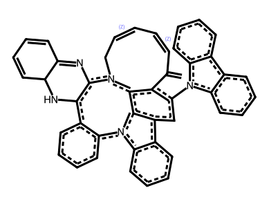 C=C1/C=C\C=C/Cn2c3c(c4ccccc4n4c5ccccc5c5cc(-n6c7ccccc7c7ccccc76)c1c2c54)NC1C=CC=CC1=N3